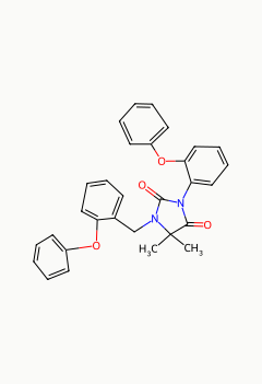 CC1(C)C(=O)N(c2ccccc2Oc2ccccc2)C(=O)N1Cc1ccccc1Oc1ccccc1